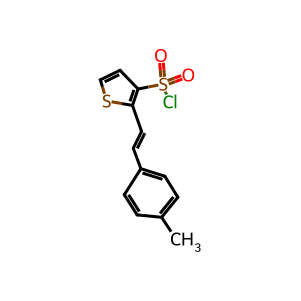 Cc1ccc(/C=C/c2sccc2S(=O)(=O)Cl)cc1